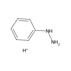 NNc1ccccc1.[H+]